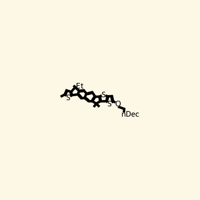 CCCCCCCCCCCCOc1cc2sc3c(c2s1)C(C)(C)c1cc2cc4c(cc2cc1-3)C(C)(CC)c1cc(C)sc1-4